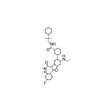 CCNc1cc2oc(-c3ccc(F)cc3)c(C(=O)NC)c2cc1-c1cccc(C(=O)NCC(C)(C)c2ccccc2)c1